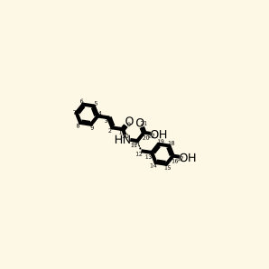 O=C(C=Cc1ccccc1)N[C@@H](Cc1ccc(O)cc1)C(=O)O